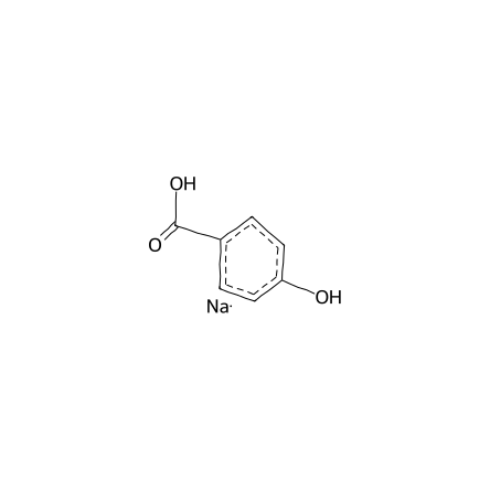 O=C(O)c1ccc(O)cc1.[Na]